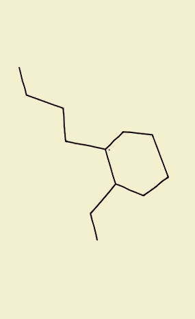 CCCC[C]1CCCCC1CC